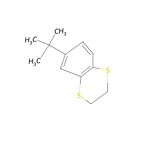 CC(C)(C)c1ccc2c(c1)SCCS2